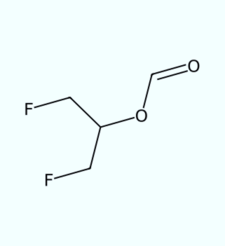 O=COC(CF)CF